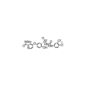 CNC(=O)c1cc(Oc2ccc(O)c([C@@H]3[C@@H]4C[C@@]34NC(=O)Nc3ccc(Cl)c(C(F)(F)F)c3)c2)ccn1